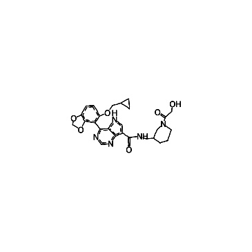 O=C(NCC1CCCN(C(=O)CO)C1)c1c[nH]c2c(-c3c(OCC4CC4)ccc4c3OCO4)ncnc12